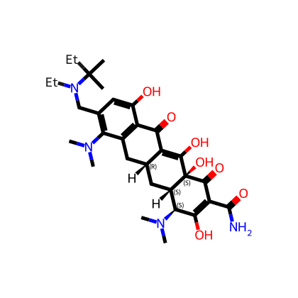 CCN(Cc1cc(O)c2c(c1N(C)C)C[C@H]1C[C@H]3[C@H](N(C)C)C(O)=C(C(N)=O)C(=O)[C@@]3(O)C(O)=C1C2=O)C(C)(C)CC